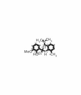 CCC(CC)(Pc1c(C)cccc1CN(C)C)c1cccc(OC)c1O